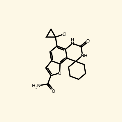 NC(=O)c1cc2cc(C3(Cl)CC3)c3c(c2o1)C1(CCCCC1)NC(=O)N3